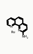 Nc1ccc2ccc3cccnc3c2n1.[Ru]